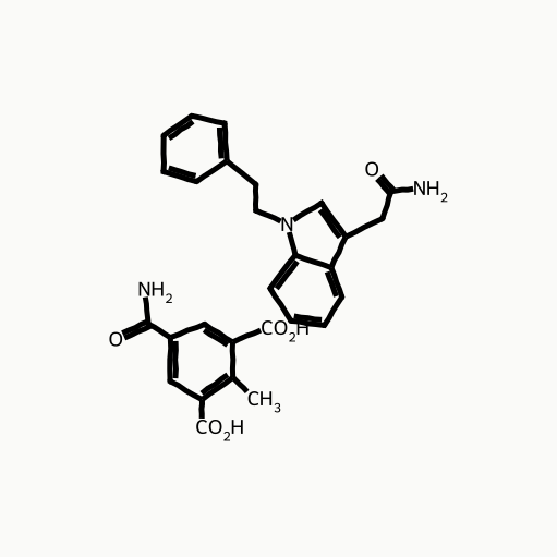 Cc1c(C(=O)O)cc(C(N)=O)cc1C(=O)O.NC(=O)Cc1cn(CCc2ccccc2)c2ccccc12